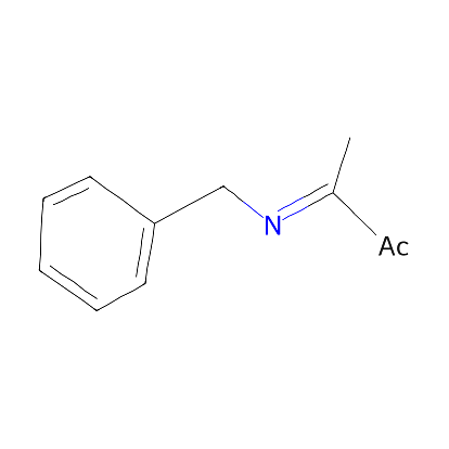 CC(=O)C(C)=NCc1ccccc1